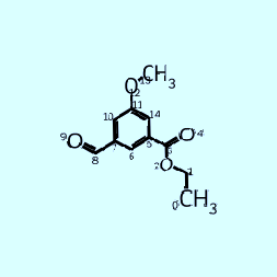 CCOC(=O)c1cc(C=O)cc(OC)c1